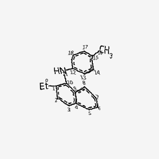 CCc1ccc2ccccc2c1Nc1ccc(C)cc1